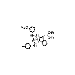 CCOC(CN1C(=O)[C@@](CC(=O)Nc2ccc(C)cc2)(NC(=O)Nc2cccc(OC)c2)c2ccccc21)OCC